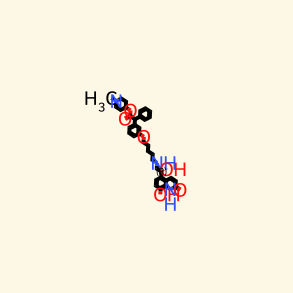 CN1CCC(OC(=O)C(c2ccccc2)c2cccc(OCCCCCNC[C@H](O)c3ccc(O)c4[nH]c(=O)ccc34)c2)CC1